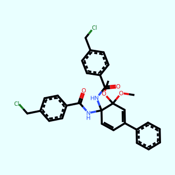 COC1(OC)C=C(c2ccccc2)C=CC1(NC(=O)c1ccc(CCl)cc1)NC(=O)c1ccc(CCl)cc1